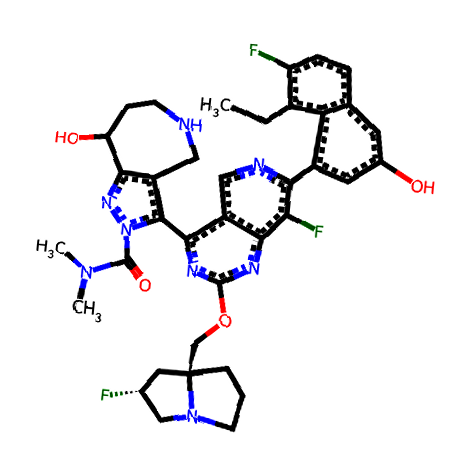 CCc1c(F)ccc2cc(O)cc(-c3ncc4c(-c5c6c(nn5C(=O)N(C)C)C(O)CCNC6)nc(OC[C@@]56CCCN5C[C@H](F)C6)nc4c3F)c12